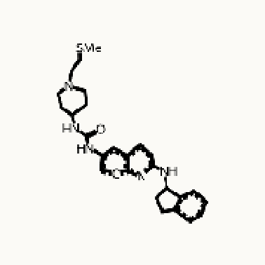 CSCCN1CCC(NC(=O)Nc2ccc3nc(N[C@@H]4CCc5ccccc54)ccc3c2)CC1